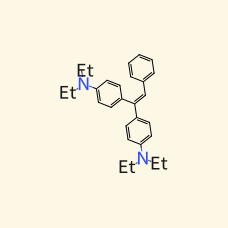 CCN(CC)c1ccc(C(=Cc2ccccc2)c2ccc(N(CC)CC)cc2)cc1